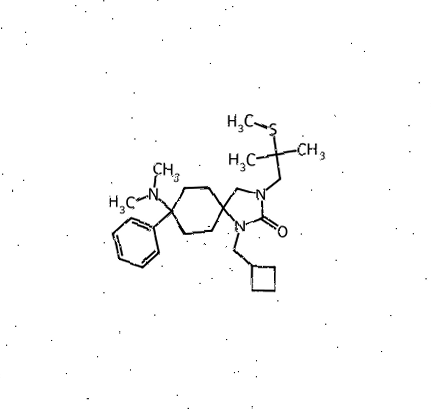 CSC(C)(C)CN1CC2(CCC(c3ccccc3)(N(C)C)CC2)N(CC2CCC2)C1=O